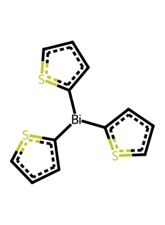 c1cs[c]([Bi]([c]2cccs2)[c]2cccs2)c1